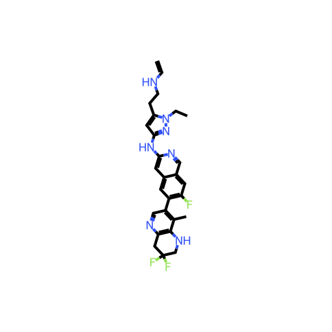 C=CNCCc1cc(Nc2cc3cc(-c4cnc5c(c4C)NCC(F)(F)C5)c(F)cc3cn2)nn1CC